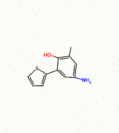 Cc1cc(N)cc(-c2cccs2)c1O